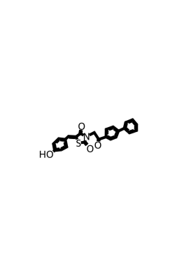 O=C(CN1C(=O)SC(=Cc2ccc(O)cc2)C1=O)c1ccc(-c2ccccc2)cc1